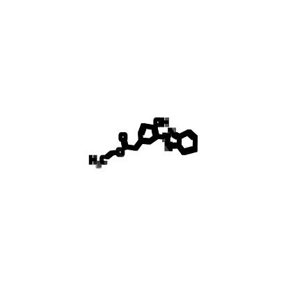 CCOC(=O)Cc1ccc(O)c(-n2nc3ccccc3n2)c1